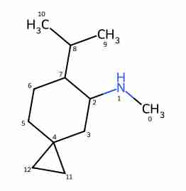 CNC1CC2(CCC1C(C)C)CC2